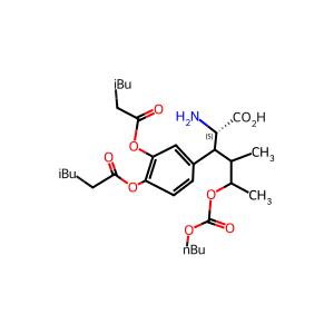 CCCCOC(=O)OC(C)C(C)C(c1ccc(OC(=O)CC(C)CC)c(OC(=O)CC(C)CC)c1)[C@H](N)C(=O)O